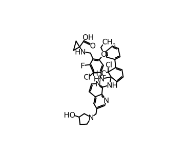 CCOc1cc(NC2(Nc3nccc4cc(CN5CCC(O)C5)cnc34)C=CC=C(c3ccccc3)C2(C)Cl)c(Cl)c(F)c1CNC1(C(=O)O)CC1